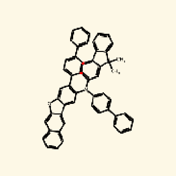 CC1(C)c2ccccc2-c2ccc(N(c3ccc(-c4ccccc4)cc3)c3cc4c(cc3-c3ccc(-c5ccccc5)cc3)oc3cc5ccccc5cc34)cc21